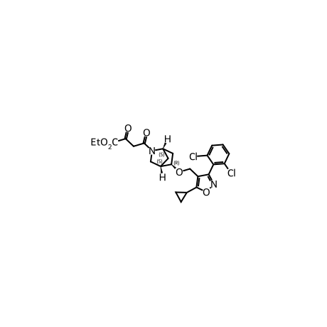 CCOC(=O)C(=O)CC(=O)N1C[C@@H]2C[C@H]1C[C@H]2OCc1c(-c2c(Cl)cccc2Cl)noc1C1CC1